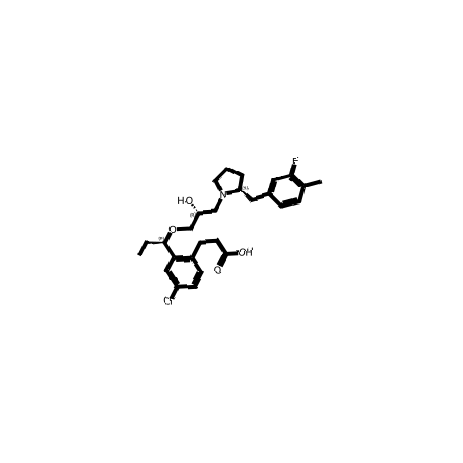 CC[C@@H](OC[C@H](O)CN1CCC[C@H]1Cc1ccc(C)c(F)c1)c1cc(Cl)ccc1CCC(=O)O